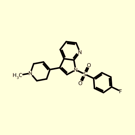 CN1CC=C(c2cn(S(=O)(=O)c3ccc(F)cc3)c3ncccc23)CC1